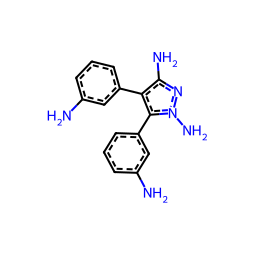 Nc1cccc(-c2c(N)nn(N)c2-c2cccc(N)c2)c1